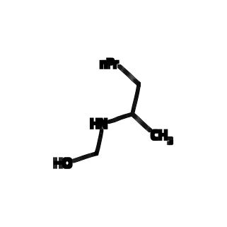 CCCCC(C)NCO